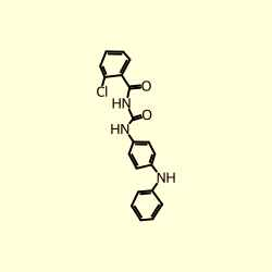 O=C(NC(=O)c1ccccc1Cl)Nc1ccc(Nc2ccccc2)cc1